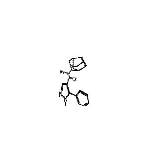 CC(C)N(C(=O)c1cnn(C)c1-c1ccccc1)C1C2CC3CC(C2)CC1C3